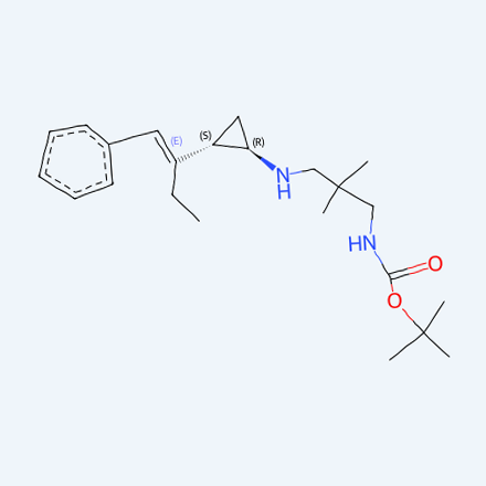 CC/C(=C\c1ccccc1)[C@@H]1C[C@H]1NCC(C)(C)CNC(=O)OC(C)(C)C